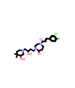 CC1(C)CCN(CC(O)CCN2CCN(C(=O)C=Cc3ccc(F)c(Cl)c3)CCC2=O)CC1O